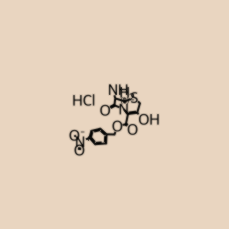 Cl.NC1C(=O)N2C(C(=O)OCc3ccc([N+](=O)[O-])cc3)=C(O)CS[C@H]12